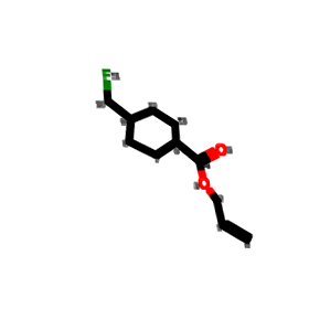 C=CCOC(=O)C1CCC(CF)CC1